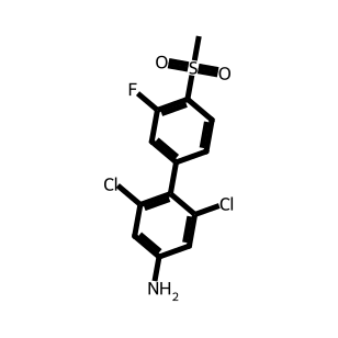 CS(=O)(=O)c1ccc(-c2c(Cl)cc(N)cc2Cl)cc1F